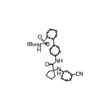 CC(C)(C)NS(=O)(=O)c1ccccc1-c1ccc(NC(=O)C2(Nc3cccc(C#N)c3)CCCC2)cc1